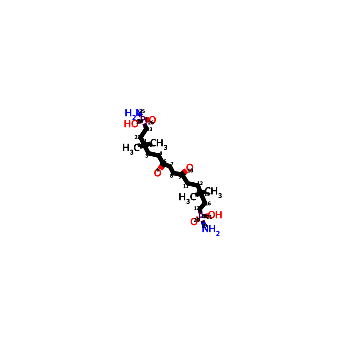 CC(C)(CCC(=O)CCC(=O)CCC(C)(C)CCP(N)(=O)O)CCP(N)(=O)O